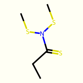 CCC(=S)N(SC)SC